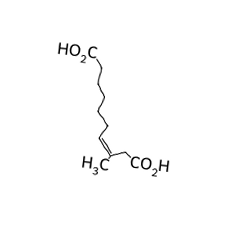 CC(=CCCCCCC(=O)O)CC(=O)O